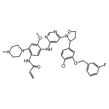 C=CC(=O)Nc1cc(Nc2cc(N3OCCC3c3ccc(Cl)c(OCc4cccc(F)c4)c3)ncn2)c(OC)cc1N1CCN(C)CC1